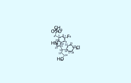 CS(=O)(=O)Cc1cc(F)cc2c(C(CCO)c3ccc(Cl)cc3)c[nH]c12